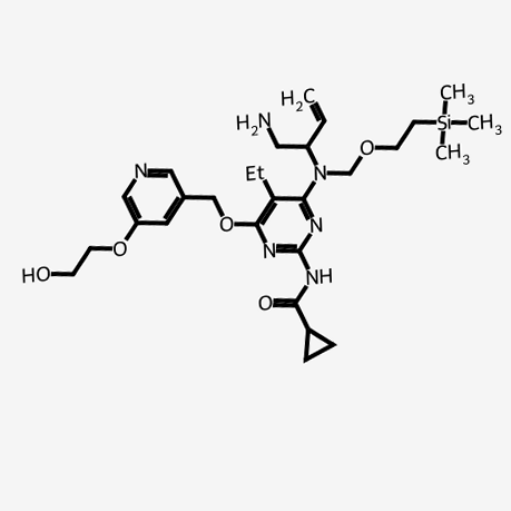 C=CC(CN)N(COCC[Si](C)(C)C)c1nc(NC(=O)C2CC2)nc(OCc2cncc(OCCO)c2)c1CC